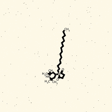 CCCCCCCCCCCCCCCC[N+]1(C2CC(C)(C)NC(C)(C)C2)C(=O)CCC1=O